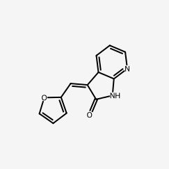 O=C1Nc2ncccc2C1=Cc1ccco1